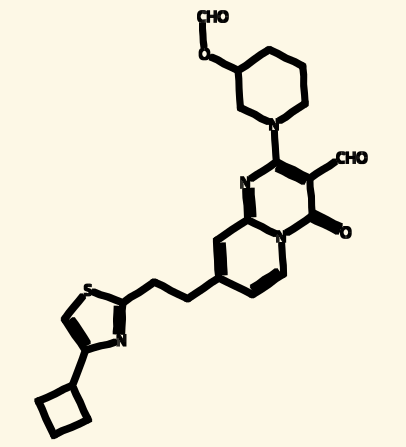 O=COC1CCCN(c2nc3cc(CCc4nc(C5CCC5)cs4)ccn3c(=O)c2C=O)C1